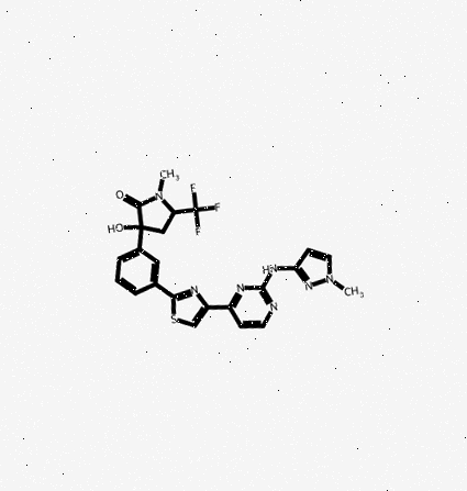 CN1C(=O)C(O)(c2cccc(-c3nc(-c4ccnc(Nc5ccn(C)n5)n4)cs3)c2)CC1C(F)(F)F